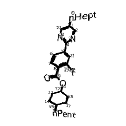 CCCCCCCc1cnc(-c2ccc(C(=O)OC3CCC(CCCCC)CC3)c(F)c2)nc1